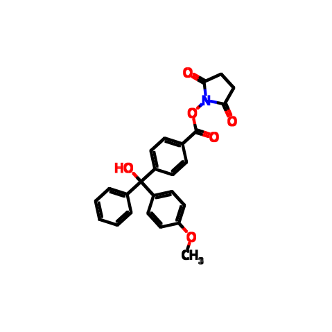 COc1ccc(C(O)(c2ccccc2)c2ccc(C(=O)ON3C(=O)CCC3=O)cc2)cc1